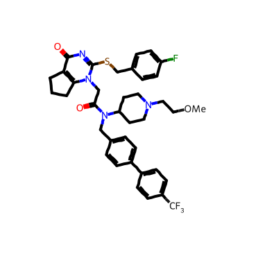 COCCN1CCC(N(Cc2ccc(-c3ccc(C(F)(F)F)cc3)cc2)C(=O)Cn2c(SCc3ccc(F)cc3)nc(=O)c3c2CCC3)CC1